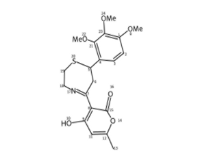 COc1ccc(C2CC(c3c(O)cc(C)oc3=O)=NCCS2)c(OC)c1OC